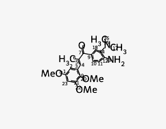 COc1cc(/C=C(\C)C(=O)c2ccc(N)c(N(C)C)c2)c(OC)c(OC)c1